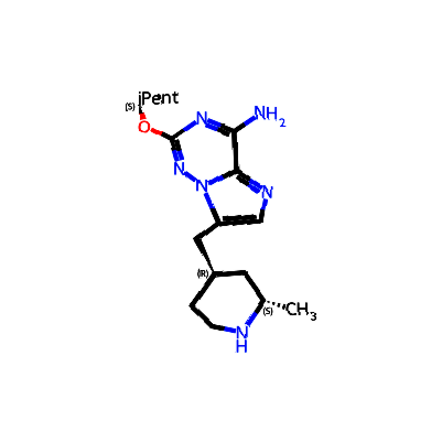 CCC[C@H](C)Oc1nc(N)c2ncc(C[C@@H]3CCN[C@@H](C)C3)n2n1